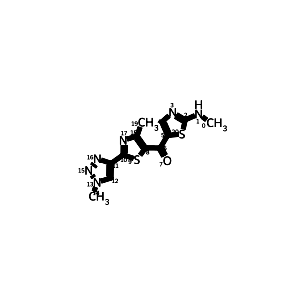 CNc1ncc(C(=O)c2sc(-c3cn(C)nn3)nc2C)s1